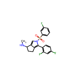 CNC1CCc2c1cn(S(=O)(=O)c1cccc(F)c1)c2-c1ccc(F)cc1F